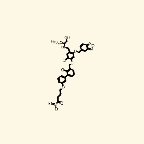 CCN(CC)C(=O)CCCOc1cccc(-c2cccc(COc3cc(OCc4ccc5nonc5c4)c(CNC(CO)C(=O)O)cc3Cl)c2Cl)c1